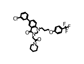 O=C(CN1CN(CCCOc2ccc(C(F)(F)F)cc2)c2ccc(-c3cccc(Cl)c3)cc2C1=O)N1CCCCC1